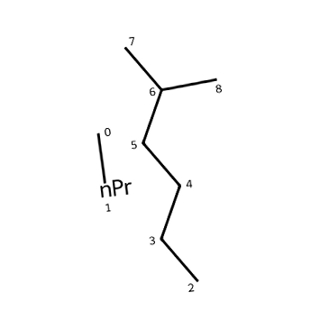 CCCC.CCCCC(C)C